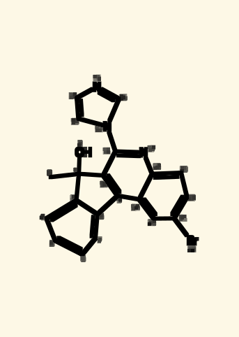 CC1(O)c2ccccc2-c2c1c(-n1ccnc1)nc1ccc(Br)cc21